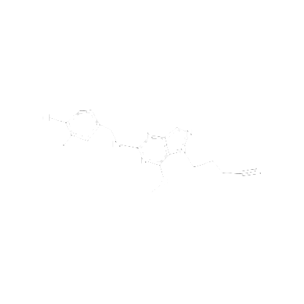 COc1nc(NCc2ccc(Cl)c(Cl)c2)nc2cnn(CCCC#N)c12